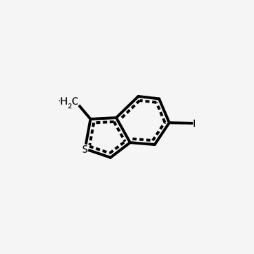 [CH2]c1scc2cc(I)ccc12